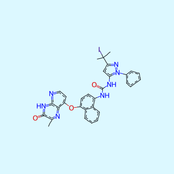 Cc1nc2c(Oc3ccc(NC(=O)Nc4cc(C(C)(C)I)nn4-c4ccccc4)c4ccccc34)ccnc2[nH]c1=O